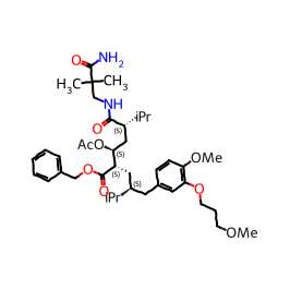 COCCCOc1cc(C[C@H](C[C@H](C(=O)OCc2ccccc2)[C@H](C[C@H](C(=O)NCC(C)(C)C(N)=O)C(C)C)OC(C)=O)C(C)C)ccc1OC